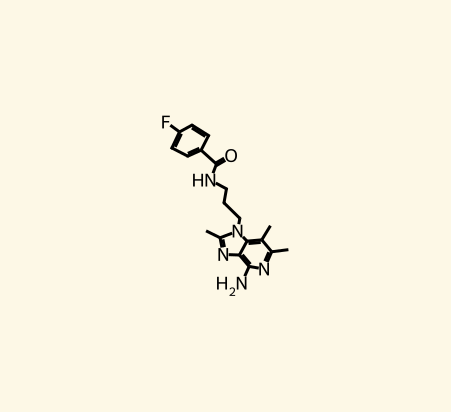 Cc1nc(N)c2nc(C)n(CCCNC(=O)c3ccc(F)cc3)c2c1C